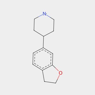 c1cc2c(cc1C1CC[N]CC1)OCC2